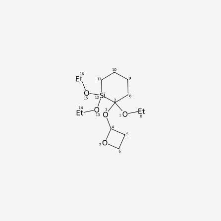 CCOC1(OC2CCO2)CCCC[Si]1(OCC)OCC